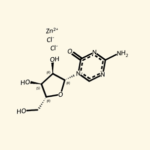 Nc1ncn([C@@H]2O[C@H](CO)[C@@H](O)[C@H]2O)c(=O)n1.[Cl-].[Cl-].[Zn+2]